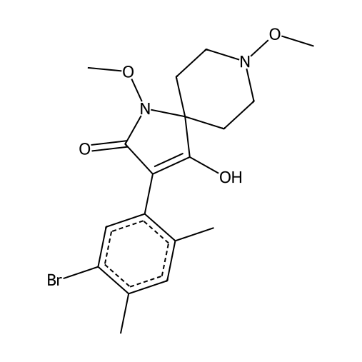 CON1CCC2(CC1)C(O)=C(c1cc(Br)c(C)cc1C)C(=O)N2OC